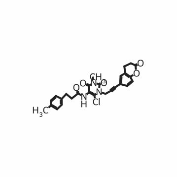 Cc1ccc(CCC(=O)Nc2c(Cl)n(CC#Cc3ccc4c(c3)CCC(=O)O4)c(=O)n(C)c2=O)cc1